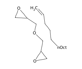 C(OCC1CO1)C1CO1.C=CCCCCCCCCCCC